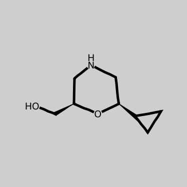 OC[C@H]1CNC[C@@H](C2CC2)O1